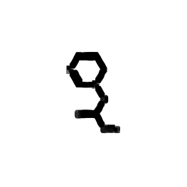 COC(=O)ON1C=NC=CC1